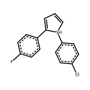 Fc1ccc(C2=CC=[C][SH]2c2ccc(Cl)cc2)cc1